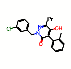 Cc1ccccc1-c1c(O)c(C(C)C)nn(Cc2cccc(Cl)c2)c1=O